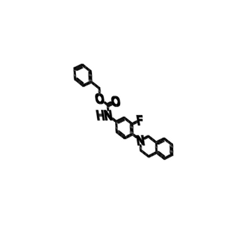 O=C(Nc1ccc(N2CCc3ccccc3C2)c(F)c1)OCc1ccccc1